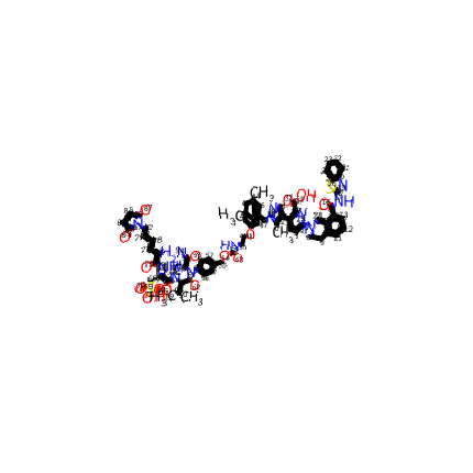 Cc1c(-c2ccc(N3CCc4cccc(C(=O)Nc5nc6ccccc6s5)c4C3)nc2C(=O)O)cnn1CC12CC3(C)CC(C)(C1)CC(OCCNC(=O)OCc1ccc(N(C(=O)[C@@H](NC(=O)[C@H](CS(=O)(=O)O)NC(=O)CCCCCN4C(=O)C=CC4=O)C(C)C)[C@@H](C)C(N)=O)cc1)(C3)C2